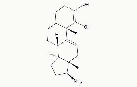 C[C@@]12C3=CC[C@]4(C)[C@@H](N)CC[C@H]4[C@@H]3CCC1CCC(O)=C2O